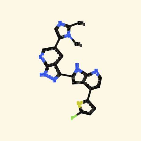 Cc1ncc(-c2cnc3[nH]nc(-c4cc5c(-c6ccc(F)s6)ccnc5[nH]4)c3c2)n1C